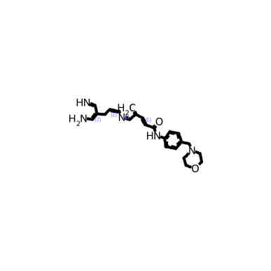 C=C(/C=N\C=C/C/C(C=N)=C/N)/C=C/C(=O)Nc1ccc(CN2CCOCC2)cc1